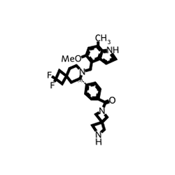 COc1cc(C)c2[nH]ccc2c1CN1CCC2(C[C@H]1c1ccc(C(=O)N3CC4(CNC4)C3)cc1)CC(F)(F)C2